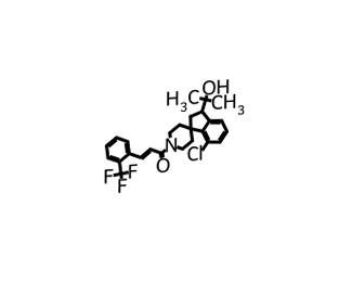 CC(C)(O)C1CC2(CCN(C(=O)/C=C/c3ccccc3C(F)(F)F)CC2)c2c(Cl)cccc21